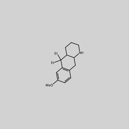 CCC1(CC)c2cc(OC)ccc2CC2NCCCC21